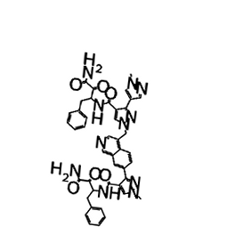 Cn1cc(-c2nn(Cc3cncc4cc(-c5nn(C)cc5C(=O)NC(Cc5ccccc5)C(=O)C(N)=O)ccc34)cc2C(=O)NC(Cc2ccccc2)C(=O)C(N)=O)cn1